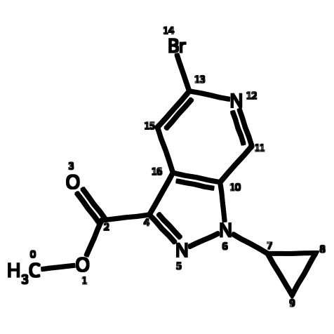 COC(=O)c1nn(C2CC2)c2cnc(Br)cc12